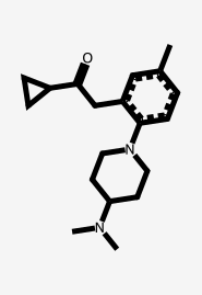 Cc1ccc(N2CCC(N(C)C)CC2)c(CC(=O)C2CC2)c1